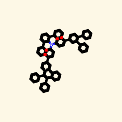 c1ccc(-c2ccc(-c3ccc(N(c4ccc(-c5ccc6c(-c7ccccc7)c(-c7ccccc7)c7ccccc7c6c5)cc4)c4c(-c5ccccc5)cccc4-c4ccccc4)cc3)cc2-c2ccccc2)cc1